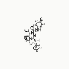 C=CCN(/N=C(/NCc1ccco1)n1cnnc1C)C(=O)Nc1ccc(Cl)cc1